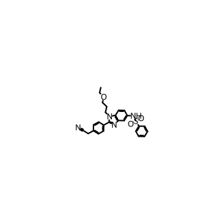 CCOCCCn1c(-c2ccc(CC#N)cc2)nc2cc(NS(=O)(=O)c3ccccc3)ccc21